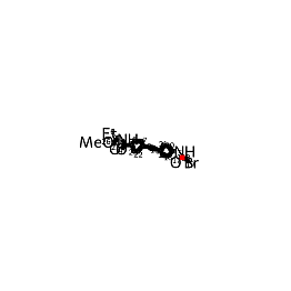 CC[C@H](NC(=O)c1ccc(C#Cc2ccc(NC(=O)CBr)cc2)cc1)C(=O)OC